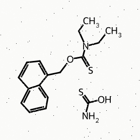 CCN(CC)C(=S)OCc1cccc2ccccc12.NC(O)=S